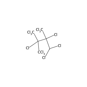 Cl[C](Cl)C(Cl)(C(Cl)(Cl)Cl)C(Cl)(C(Cl)(Cl)Cl)C(Cl)(Cl)Cl